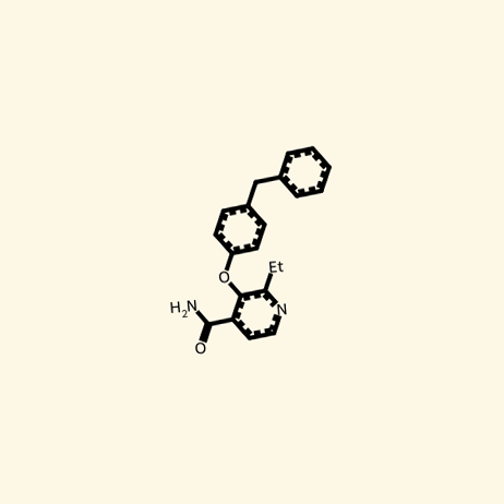 CCc1nccc(C(N)=O)c1Oc1ccc(Cc2ccccc2)cc1